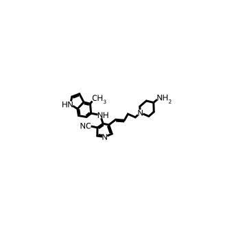 Cc1c(Nc2c(C#N)cncc2C=CCCN2CCC(N)CC2)ccc2[nH]ccc12